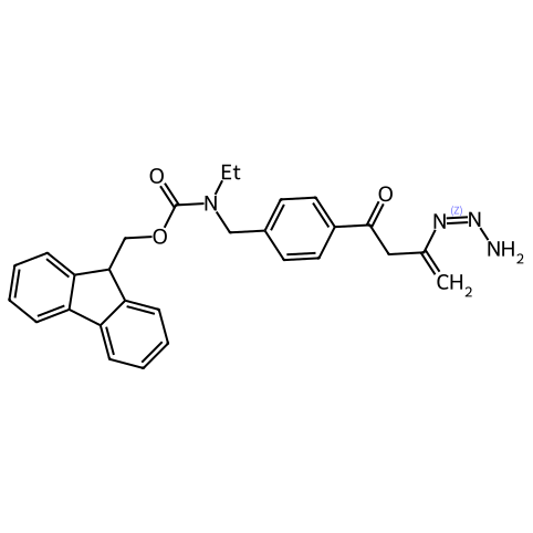 C=C(CC(=O)c1ccc(CN(CC)C(=O)OCC2c3ccccc3-c3ccccc32)cc1)/N=N\N